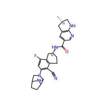 C[C@@H]1CNc2ncc(C(=O)N[C@H]3CCc4c(C#N)c(N5CC6CCC(C5)N6)cc(F)c4C3)cc2C1